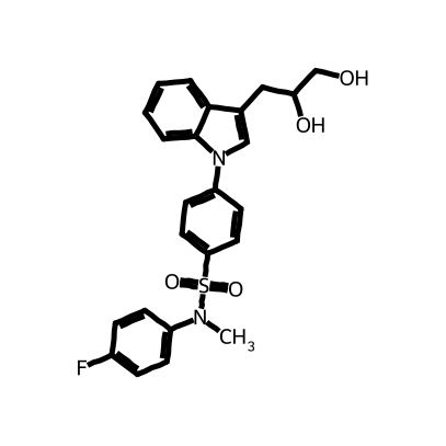 CN(c1ccc(F)cc1)S(=O)(=O)c1ccc(-n2cc(CC(O)CO)c3ccccc32)cc1